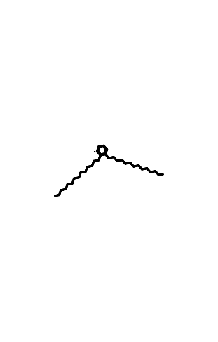 CCCCCCCCCCCCCCc1[c]cccc1CCCCCCCCCCCCCC